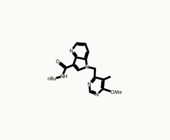 CCCCNC(=O)c1cn(Cc2ncnc(OC)c2C)c2cccnc12